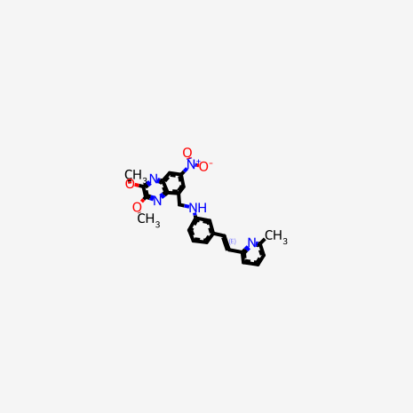 COc1nc2cc([N+](=O)[O-])cc(CNc3cccc(/C=C/c4cccc(C)n4)c3)c2nc1OC